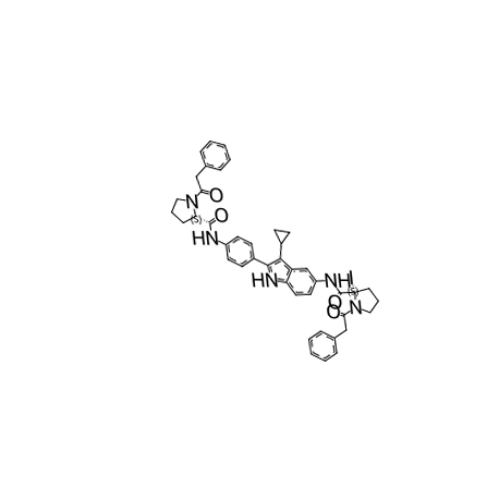 O=C(Nc1ccc(-c2[nH]c3ccc(NC(=O)[C@@]4(I)CCCN4C(=O)Cc4ccccc4)cc3c2C2CC2)cc1)[C@@H]1CCCN1C(=O)Cc1ccccc1